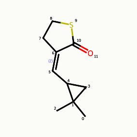 CC1(C)[CH]C1/C=C1/CCSC1=O